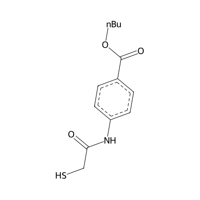 CCCCOC(=O)c1ccc(NC(=O)CS)cc1